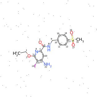 CCOc1nc(C(=O)NCc2ccc(S(C)(=O)=O)cc2)cc(N)c1I